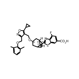 Cc1cccc(C)c1OCc1noc(C2CC2)c1CO[C@@H]1CC2C[C@H](C)[C@@H](C1)[C@]2(O)c1nc2c(F)cc(C(=O)O)cc2s1